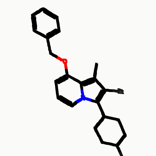 CCCCCC1CCC(c2c(CC)c(C)c3c(OCc4ccccc4)cccn23)CC1